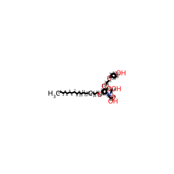 CCCCCCCCCCCCCCCCCCOc1cc(OCCCOc2ccc(O)cc2)cc(N(CC(=O)O)CC(=O)O)c1